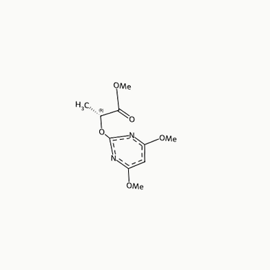 COC(=O)[C@@H](C)Oc1nc(OC)cc(OC)n1